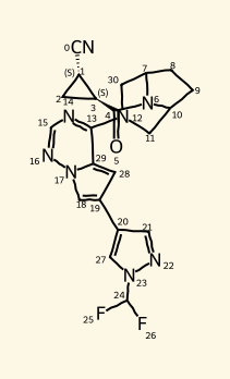 N#C[C@H]1C[C@@H]1C(=O)N1C2CCC1CN(c1ncnn3cc(-c4cnn(C(F)F)c4)cc13)C2